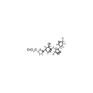 CCOC(=O)[C@H]1CCN(c2cnn(Cc3c(-c4ccc(C)nc4)noc3C)c(=O)c2)C1